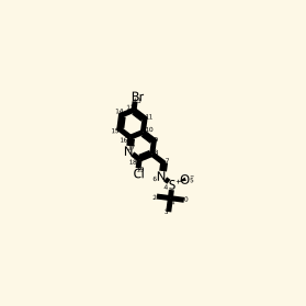 CC(C)(C)[S@+]([O-])/N=C/c1cc2cc(Br)ccc2nc1Cl